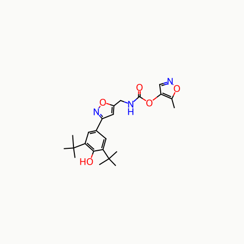 Cc1oncc1OC(=O)NCc1cc(-c2cc(C(C)(C)C)c(O)c(C(C)(C)C)c2)no1